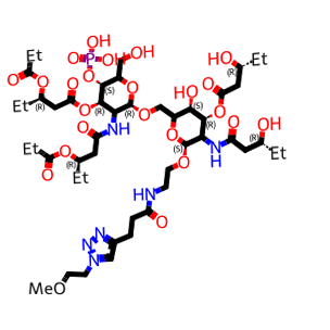 CCC(=O)O[C@H](CC)CC(=O)NC1[C@H](OCC2O[C@H](OCCNC(=O)CCc3cn(CCOC)nn3)C(NC(=O)C[C@H](O)CC)[C@@H](OC(=O)C[C@H](O)CC)[C@@H]2O)OC(CO)[C@@H](OP(=O)(O)O)[C@@H]1OC(=O)C[C@@H](CC)OC(=O)CC